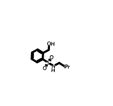 CC(C)CNS(=O)(=O)c1ccccc1CO